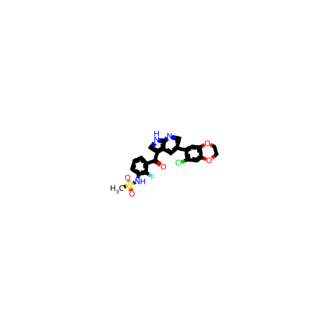 CS(=O)(=O)Nc1cccc(C(=O)c2c[nH]c3ncc(-c4cc5c(cc4Cl)OCCO5)cc23)c1F